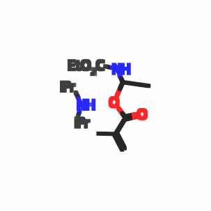 C=C(C)C(=O)OC(C)NC(=O)OCC.CC(C)NC(C)C